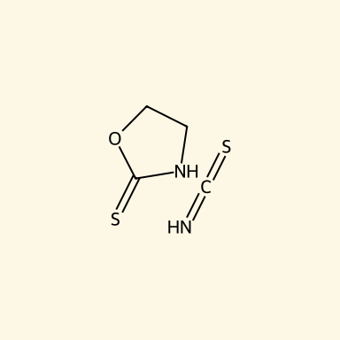 N=C=S.S=C1NCCO1